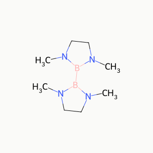 CN1CCN(C)B1B1N(C)CCN1C